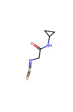 O=C(CN=C=S)NC1CC1